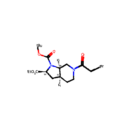 CCOC(=O)[C@@H]1C[C@@H]2CCN(C(=O)CC(C)C)C[C@@H]2N1C(=O)OC(C)(C)C